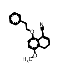 COc1ccc(OCCc2ccccc2)c2c1CCC=C2C#N